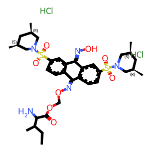 CCC(C)C(N)C(=O)OCON=C1c2ccc(S(=O)(=O)N3C[C@H](C)C[C@H](C)C3)cc2C(=NO)c2cc(S(=O)(=O)N3C[C@H](C)C[C@H](C)C3)ccc21.Cl.Cl